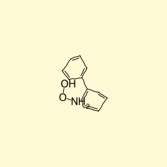 NOO.c1ccc(-c2ccccc2)cc1